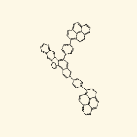 c1ccc2cc3c(cc2c1)oc1c2ccc(-c4ccc(-c5ccc6ccc7cccc8ccc5c6c78)cc4)cc2cc(-c2ccc(-c4ccc5ccc6cccc7ccc4c5c67)cc2)c31